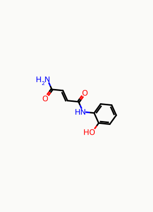 NC(=O)C=CC(=O)Nc1ccccc1O